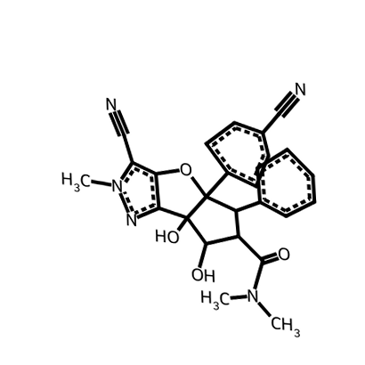 CN(C)C(=O)C1C(O)C2(O)c3nn(C)c(C#N)c3OC2(c2ccc(C#N)cc2)C1c1ccccc1